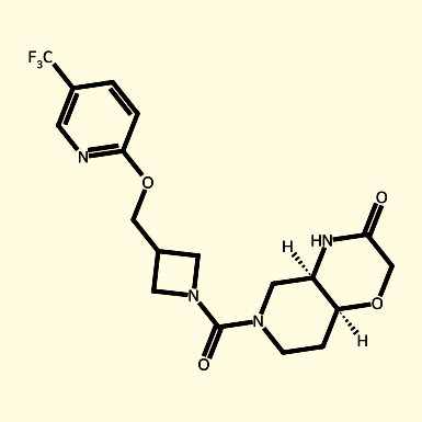 O=C1CO[C@H]2CCN(C(=O)N3CC(COc4ccc(C(F)(F)F)cn4)C3)C[C@H]2N1